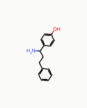 NC(CCc1ccccc1)c1ccc(O)cc1